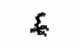 [CH2]C(C)C(C)(C)CC=CCCC